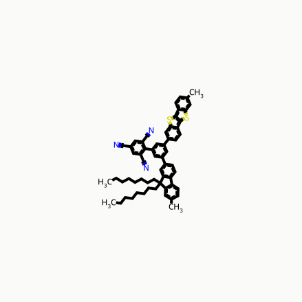 CCCCCCCCC1(CCCCCCCC)c2cc(C)ccc2-c2ccc(-c3cc(-c4ccc5c(c4)sc4c6ccc(C)cc6sc54)cc(-c4c(C#N)cc(C#N)cc4C#N)c3)cc21